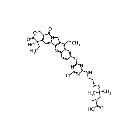 CCc1c2c(nc3ccc(Oc4nc(Cl)nc(NCCSSC(C)(C)CNC(=O)O)n4)cc13)-c1cc3c(c(=O)n1C2)COC(=O)[C@]3(O)CC